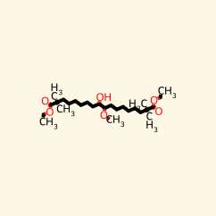 CCOC(=O)C(C)(C)CCCCCCC(O)C(CCCCCCC(C)(C)C(=O)OCC)OC